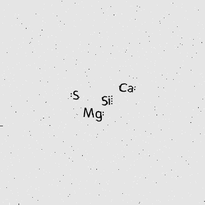 [Ca].[Mg].[S].[Si]